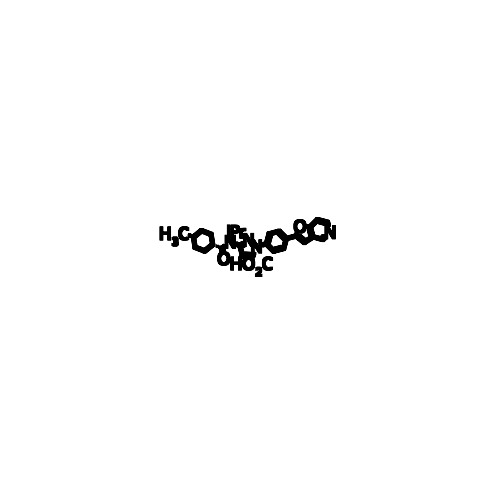 CC(C)N(c1nn(-c2ccc(-c3cc4cnccc4o3)cc2)cc1C(=O)O)C(=O)[C@H]1CC[C@H](C)CC1